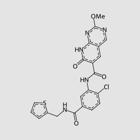 COc1ncc2cc(C(=O)Nc3cc(C(=O)NCc4cccs4)ccc3Cl)c(=O)[nH]c2n1